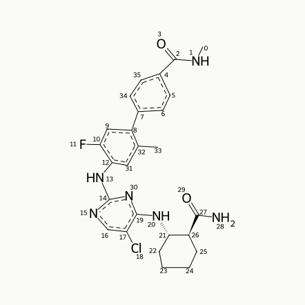 CNC(=O)c1ccc(-c2cc(F)c(Nc3ncc(Cl)c(N[C@H]4CCCC[C@@H]4C(N)=O)n3)cc2C)cc1